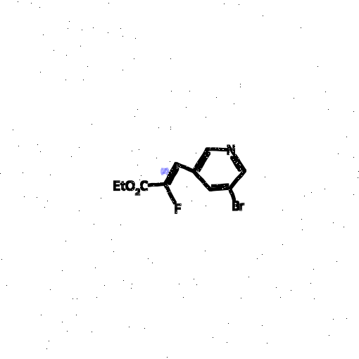 CCOC(=O)/C(F)=C/c1cncc(Br)c1